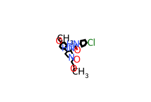 COCCC(=O)N1CCC(c2ccc(OC)cc2)C(NC(=O)Nc2ccc(Cl)cc2)C1